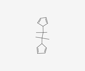 CC(C)(C1C=CC=C1)C(C)(C)C1C=CC=C1